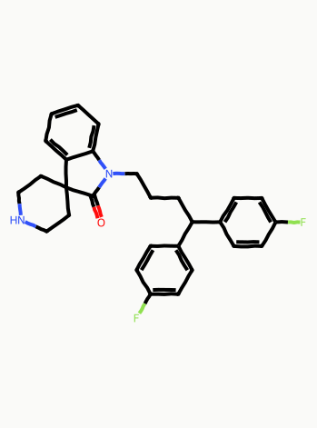 O=C1N(CCCC(c2ccc(F)cc2)c2ccc(F)cc2)c2ccccc2C12CCNCC2